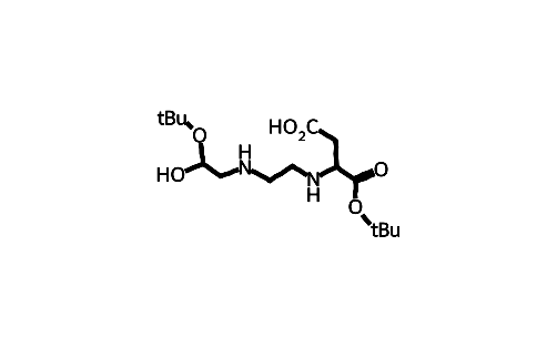 CC(C)(C)OC(=O)C(CC(=O)O)NCCNCC(O)OC(C)(C)C